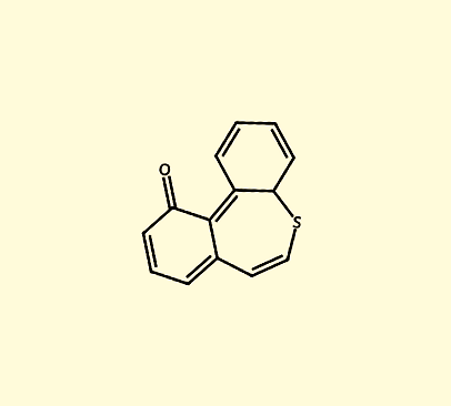 O=C1C=CC=C2C=CSC3C=CC=CC3=C12